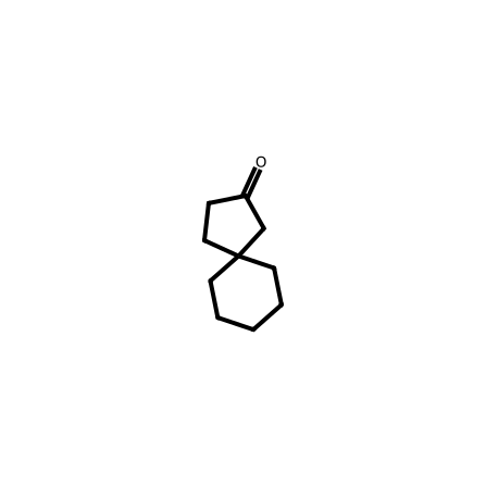 O=C1CCC2(CCCCC2)C1